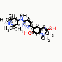 C=Nc1cc(O)c(-c2ccc(N(C)C3CC(C)(C)NC(C)(C)C3)nn2)cc1/C=C(\C)O